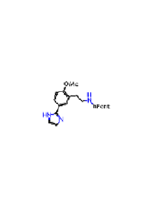 CCCCCNCCc1cc(-c2ncc[nH]2)ccc1OC